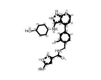 CC(C)(C)c1cc(C(=O)NCc2ccc(-c3ccnc4[nH]nc(N[C@H]5CC[C@H](O)CC5)c34)cc2F)no1